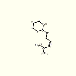 CC(C)/C=C\COC1CCCCO1